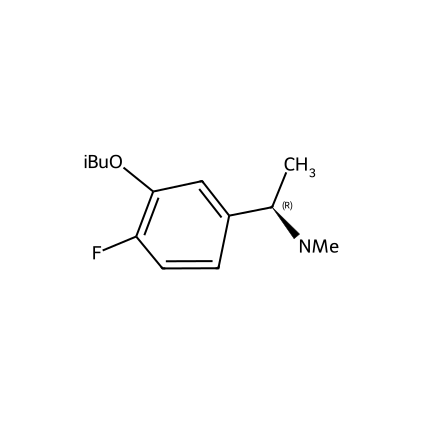 CN[C@H](C)c1ccc(F)c(OCC(C)C)c1